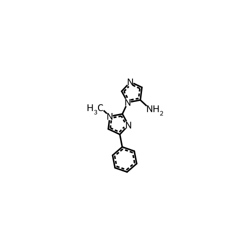 Cn1cc(-c2ccccc2)nc1-n1cncc1N